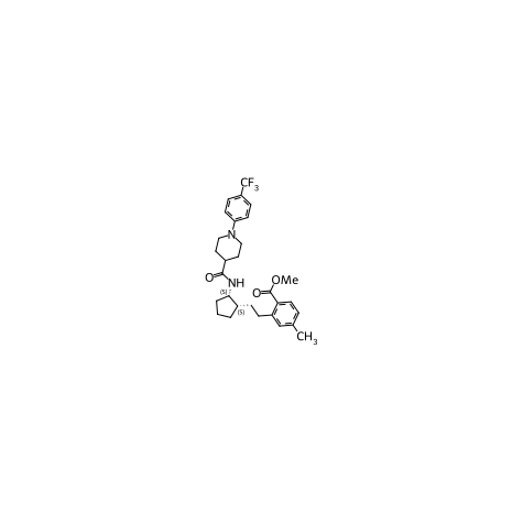 COC(=O)c1ccc(C)cc1CC[C@@H]1CCC[C@@H]1NC(=O)C1CCN(c2ccc(C(F)(F)F)cc2)CC1